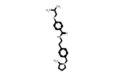 CC(C)COc1ccc(C(=O)NCCc2ccc(CN3CCCC3C)cc2)cc1